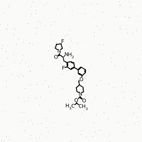 CC(C)OC(=O)N1CCC(COc2cccc(-c3ccc(C[C@H](N)C(=O)N4CC[C@H](F)C4)c(F)c3)c2)CC1